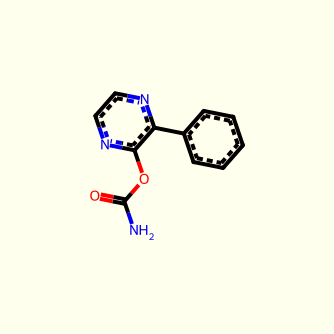 NC(=O)Oc1nccnc1-c1ccccc1